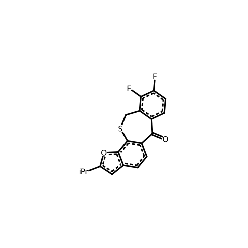 CC(C)c1cc2ccc3c(c2o1)SCc1c(ccc(F)c1F)C3=O